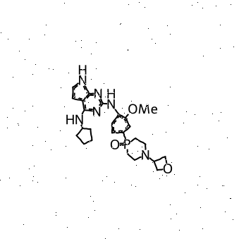 COc1cc(P2(=O)CCN(C3COC3)CC2)ccc1Nc1nc(NC2CCCC2)c2cc[nH]c2n1